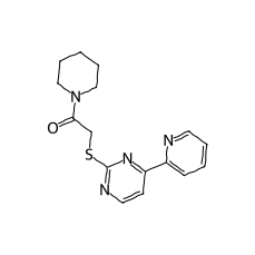 O=C(CSc1nccc(-c2ccccn2)n1)N1CCCCC1